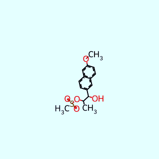 COc1ccc2cc([C@@H](O)C(C)OS(C)(=O)=O)ccc2c1